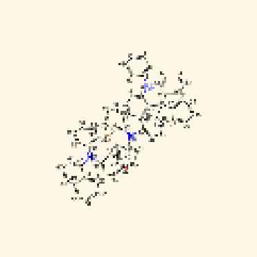 c1ccc(N2c3ccccc3C3(c4ccccc4-c4ccc(N(c5ccccc5)c5cccc6c5sc5c(N(c7ccccc7)c7cccc8ccccc78)cccc56)cc43)c3ccccc32)cc1